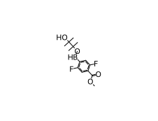 COC(=O)c1cc(F)c(BOC(C)(C)C(C)(C)O)cc1F